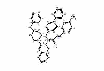 O=C([C@H](Cc1ccccc1)N(Cc1ccc(-c2cccnc2)cc1)C(=O)/C=C/c1ccc(C(F)(F)F)nc1)N1CCC(Cc2ccccc2)CC1